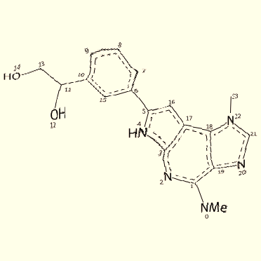 CNc1nc2[nH]c(-c3cccc(C(O)CO)c3)cc2c2c1ncn2C